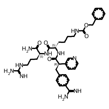 N=C(N)NCCC[C@H](NC(=O)[C@H](CCCCNC(=O)OCc1ccccc1)NC(=O)[C@H](Cc1ccc(C(=N)N)cc1)c1cccnc1)C(N)=O